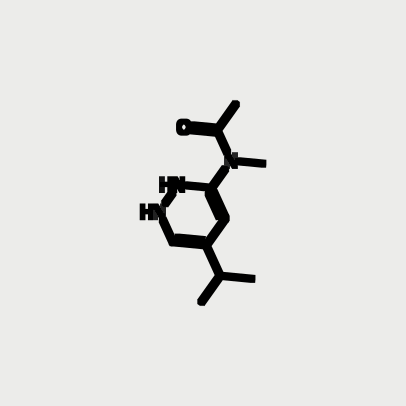 CC(=O)N(C)C1=CC(C(C)C)=CNN1